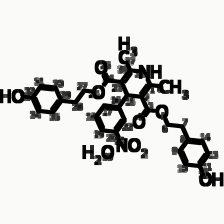 CC1=C(C(=O)OCCc2ccc(O)cc2)C(c2cccc([N+](=O)[O-])c2)C(C(=O)OCCc2ccc(O)cc2)=C(C)N1.O